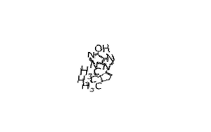 CC1CC=C(n2cnc3c(O)ncnc32)C1(C)C